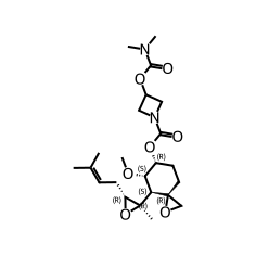 CO[C@@H]1[C@H](OC(=O)N2CC(OC(=O)N(C)C)C2)CC[C@]2(CO2)[C@H]1[C@@]1(C)O[C@@H]1CC=C(C)C